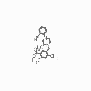 Cc1cc(C)c(C(=O)O)cc1CN1CCN(c2ccccc2C#N)C[C@@H]1C